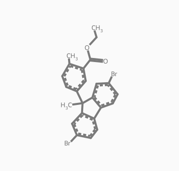 CCOC(=O)c1cc(C2(C)c3cc(Br)ccc3-c3ccc(Br)cc32)ccc1C